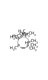 CC(C)C1C[PH](C)(C)P(C)C#CP(C)CP(C)P1(C)(C)C